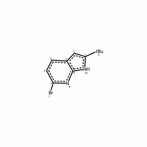 CC(C)(C)c1cc2ccc(Br)nc2[nH]1